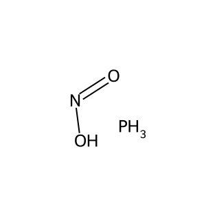 O=NO.P